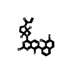 C=CC(=O)N1CC[C@@H]2[C@H]1CN2c1nc(Cl)nc2c(F)c(-c3cccc4ccc(F)c(Cl)c34)ncc12